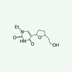 CCn1cc(C2CCC(CCO)O2)c(=O)[nH]c1=O